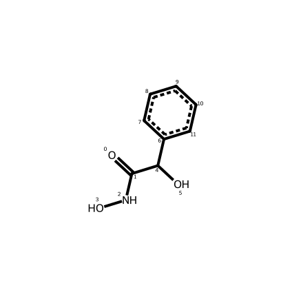 O=C(NO)C(O)c1ccccc1